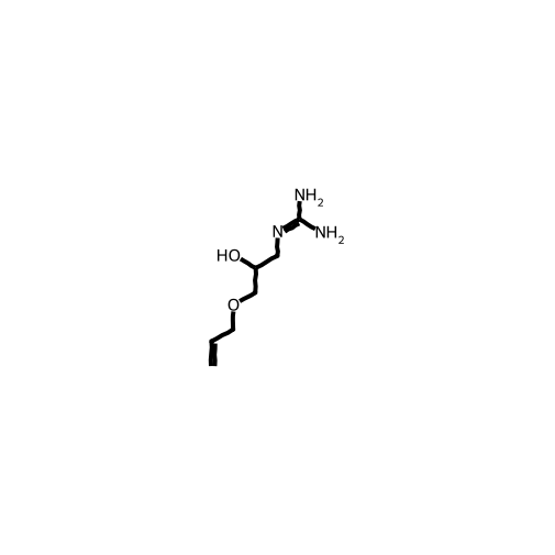 C=CCOCC(O)CN=C(N)N